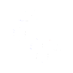 Oc1nc(-c2ccnc3[nH]c(C(F)(F)F)cc23)nc2cncc(C3CC3)c12